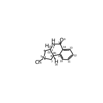 O=C1N[C@@H]2CN(Cl)C[C@H]2c2ccccc21